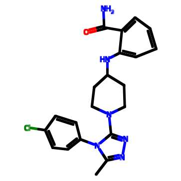 Cc1nnc(N2CCC(Nc3ccccc3C(N)=O)CC2)n1-c1ccc(Cl)cc1